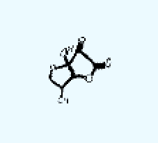 O=C1OC2C(O)COC2(O)C1=O